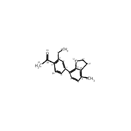 CCc1cc(-c2ccc(C)c3c2OCC3)ccc1C(C)=O